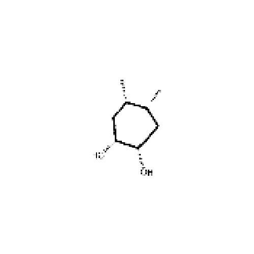 C[C@@H]1C[C@H](O)[C@H](O)C[C@@H]1C